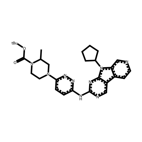 CC1CN(c2ccc(Nc3ncc4c5ccncc5n(C5CCCC5)c4n3)nn2)CCN1C(=O)OC(C)(C)C